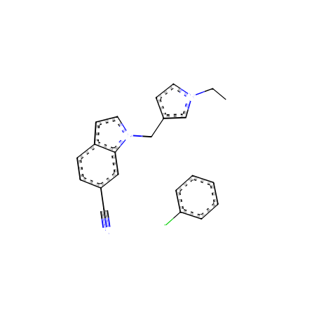 CCn1ccc(Cn2ccc3ccc(C#N)cc32)c1.Clc1ccccc1